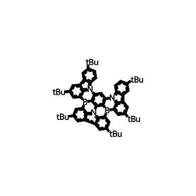 CC(C)(C)c1ccc2c(c1)c1cc(C(C)(C)C)cc3c1n2-c1cc2c4c5c1B3c1cc(C(C)(C)C)cc3c6cc(C(C)(C)C)cc(c6n-5c13)B4c1cc(C(C)(C)C)cc3c4cc(C(C)(C)C)ccc4n-2c13